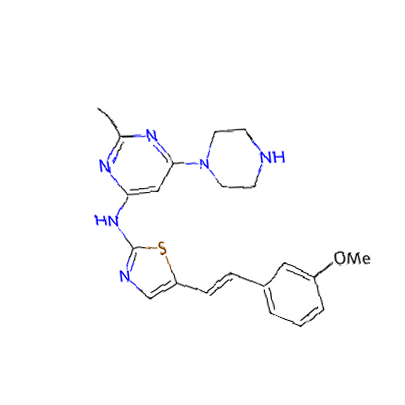 COc1cccc(/C=C/c2cnc(Nc3cc(N4CCNCC4)nc(C)n3)s2)c1